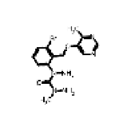 Cc1ncncc1OCc1c(Br)cccc1N(N)C(=O)N(C)N